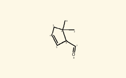 CC1(C)CC=CC1C=O